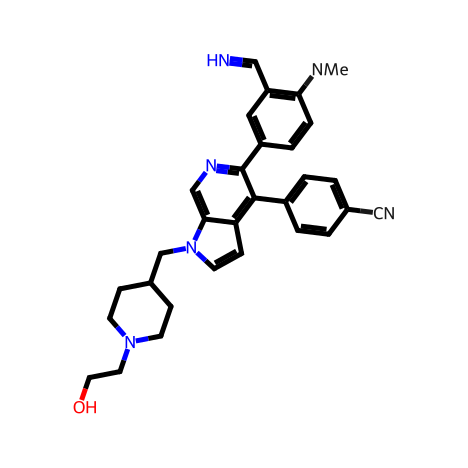 CNc1ccc(-c2ncc3c(ccn3CC3CCN(CCO)CC3)c2-c2ccc(C#N)cc2)cc1C=N